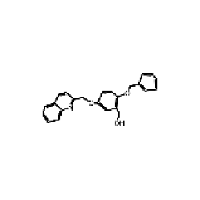 OCc1cc(OCc2ccc3ccccc3n2)ccc1OCc1ccccc1